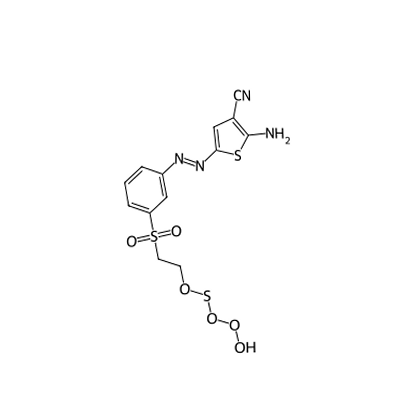 N#Cc1cc(/N=N/c2cccc(S(=O)(=O)CCOSOOO)c2)sc1N